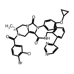 C[C@@H]1Cn2c(c(C(=O)NCc3c(F)cccc3-c3ccncn3)n(-c3ccc(OC4CC4)cc3)c2=O)CN1C(=O)c1ccc(Br)c(Cl)c1